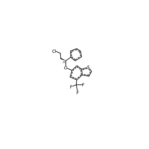 FC(F)(F)c1cc(O[C@@H](CCCl)c2ccccc2)cc2sccc12